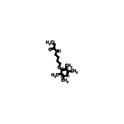 C=CC(=O)NCCCCOc1c(C)c(C)cc(C)c1C